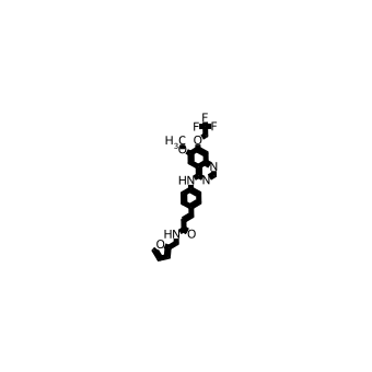 COc1cc2c(Nc3ccc(/C=C/C(=O)NCc4ccco4)cc3)ncnc2cc1OCC(F)(F)F